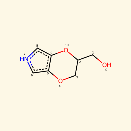 OCC1COc2c[nH]cc2O1